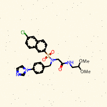 COC(CNC(=O)CN(Cc1ccc(-n2ccnc2)cc1)S(=O)(=O)c1ccc2cc(Cl)ccc2c1)OC